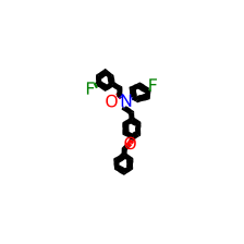 O=C(Cc1cccc(F)c1)N(CCc1ccc(OCc2ccccc2)cc1)c1ccc(F)cc1